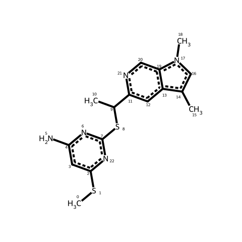 CSc1cc(N)nc(SC(C)c2cc3c(C)cn(C)c3cn2)n1